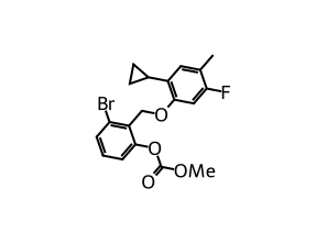 COC(=O)Oc1cccc(Br)c1COc1cc(F)c(C)cc1C1CC1